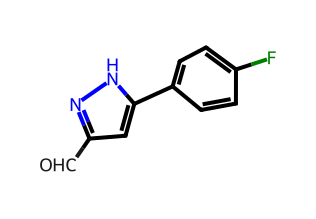 O=Cc1cc(-c2ccc(F)cc2)[nH]n1